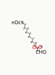 CCCCCCCCCCCCCCCCCOC(=O)C=O